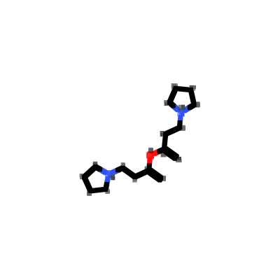 C=C(CCN1CCCC1)OC(=C)CCN1CCCC1